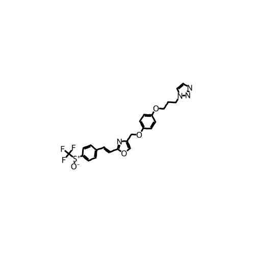 [O-][S+](c1ccc(/C=C/c2nc(COc3ccc(OCCCn4ccnn4)cc3)co2)cc1)C(F)(F)F